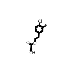 C#CC(=O)OCCc1ccc(Cl)c(F)c1